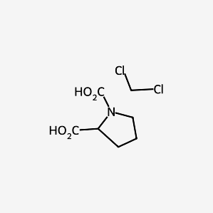 ClCCl.O=C(O)C1CCCN1C(=O)O